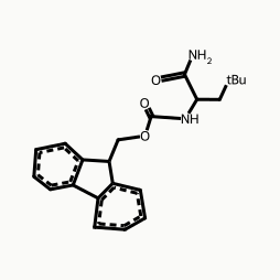 CC(C)(C)CC(NC(=O)OCC1c2ccccc2-c2ccccc21)C(N)=O